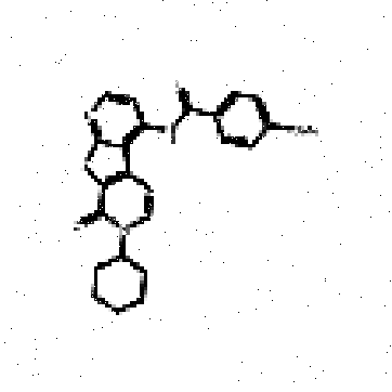 COc1ccc(C(=O)Nc2ccnc3sc4c(=O)n(C5CCCCC5)cnc4c23)cc1